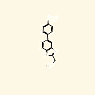 NCc1nc2cc(-c3ccc(C(=O)O)cc3)ccc2[nH]1